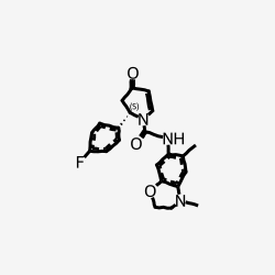 Cc1cc2c(cc1NC(=O)N1C=CC(=O)C[C@H]1c1ccc(F)cc1)OCCN2C